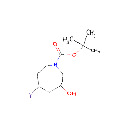 CC(C)(C)OC(=O)N1CCC(I)CC(O)C1